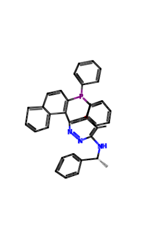 Cc1c(N[C@H](C)c2ccccc2)nnc(-c2c(P(c3ccccc3)c3ccccc3)ccc3ccccc23)c1C